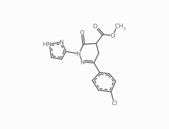 COC(=O)C1CC(c2ccc(Cl)cc2)=NN(c2cc[nH]n2)C1=O